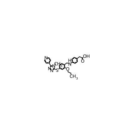 CCCOc1cc(Sc2nnc(-c3ccncc3)n2C)ccc1CNc1ccc(CC(=O)O)cc1